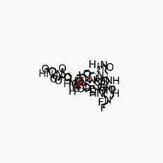 CC(C)(C)c1ccc(C[C@H](NC(=O)[C@H](CCC(N)=O)NC(=O)[C@@H]2CC[C@@H]3CCN(CC(F)F)C[C@H](NC(=O)c4cc5cc(C(F)(F)P(=O)(O)O)ccc5s4)C(=O)N32)C(=O)N2CC(N3CCC(Nc4ccc5c(c4)C(=O)N(C4CCC(=O)NC4=O)C5=O)CC3)C2)cc1